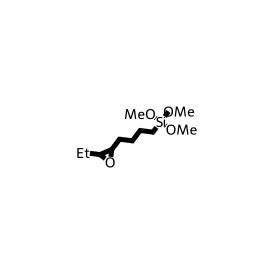 CCC1OC1CCCC[Si](OC)(OC)OC